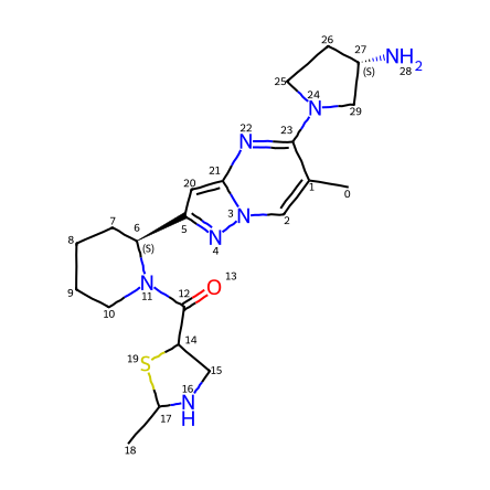 Cc1cn2nc([C@@H]3CCCCN3C(=O)C3CNC(C)S3)cc2nc1N1CC[C@H](N)C1